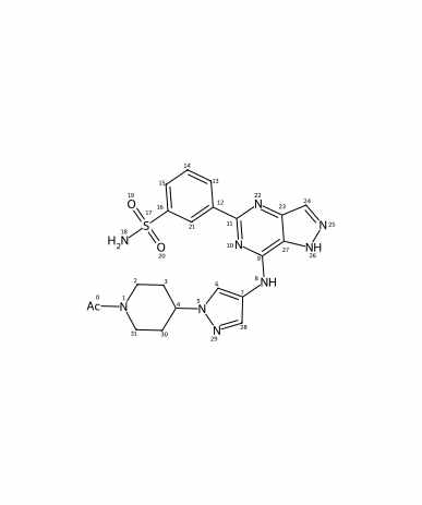 CC(=O)N1CCC(n2cc(Nc3nc(-c4cccc(S(N)(=O)=O)c4)nc4cn[nH]c34)cn2)CC1